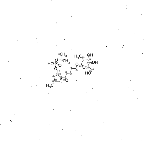 CC(C)OP(=O)(O)OC[C@@H]1C[C@@H](C)CN1C(=O)CCCCOC1OC(CO)C(O)C(O)C1C